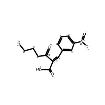 O=C(O)/C(=C/c1cccc([N+](=O)[O-])c1)C(=O)CCCCl